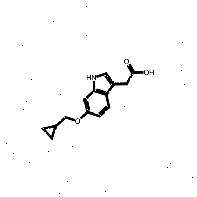 O=C(O)Cc1c[nH]c2cc(OCC3CC3)ccc12